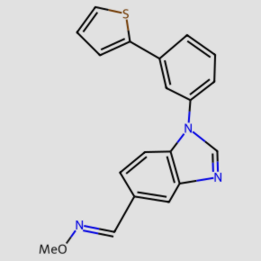 CON=Cc1ccc2c(c1)ncn2-c1cccc(-c2cccs2)c1